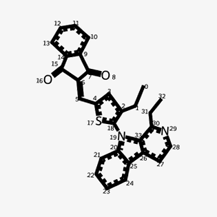 CCc1cc(C=C2C(=O)c3ccccc3C2=O)sc1-n1c2ccccc2c2ccnc(CC)c21